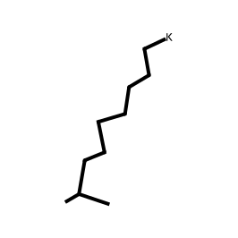 CC(C)CCCCCC[CH2][K]